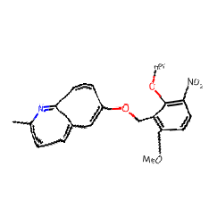 CCCOc1c([N+](=O)[O-])ccc(OC)c1COc1ccc2nc(C)ccc2c1